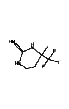 CC1(C(F)(F)F)CCNC(=N)N1